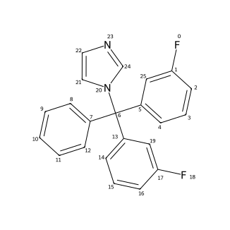 Fc1cccc(C(c2ccccc2)(c2cccc(F)c2)n2ccnc2)c1